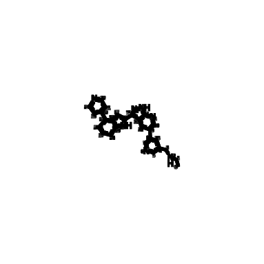 CCNCc1cncc(-c2cnc3[nH]nc(-c4cc5c(-c6ccncc6)cccc5[nH]4)c3c2)c1